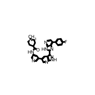 CN1CCC(C(=O)Nc2cncc(-c3cnc4[nH]nc(-c5nc6c(-c7ccc(F)cc7)ccnc6[nH]5)c4c3)c2)CC1